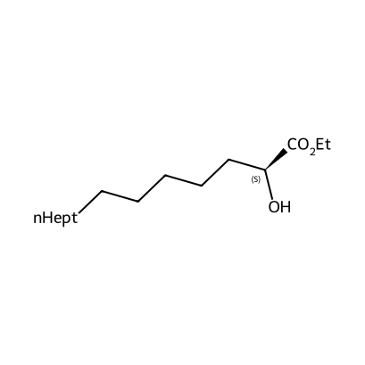 CCCCCCCCCCCC[C@H](O)C(=O)OCC